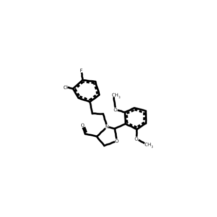 COc1cccc(OC)c1C1OCC(C=O)N1CCc1ccc(F)c(Cl)c1